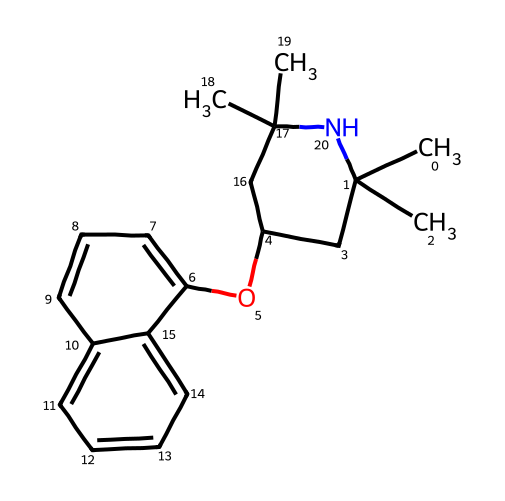 CC1(C)CC(Oc2cccc3ccccc23)CC(C)(C)N1